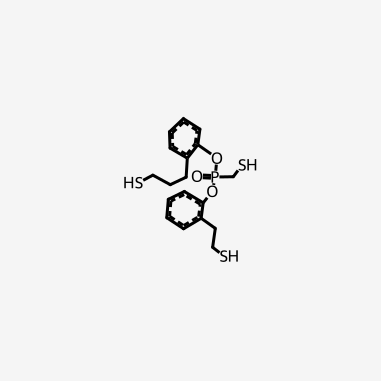 O=P(CS)(Oc1ccccc1CCS)Oc1ccccc1CCCS